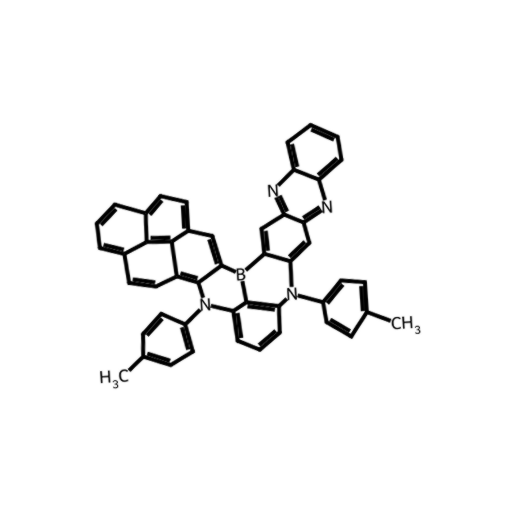 Cc1ccc(N2c3cc4nc5ccccc5nc4cc3B3c4cc5ccc6cccc7ccc(c4N(c4ccc(C)cc4)c4cccc2c43)c5c67)cc1